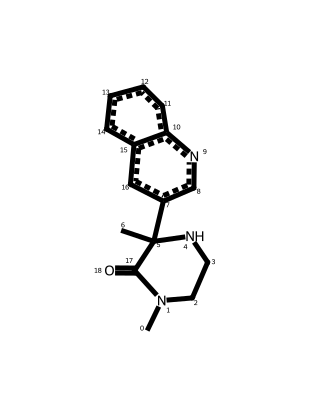 CN1CCNC(C)(c2cnc3ccccc3c2)C1=O